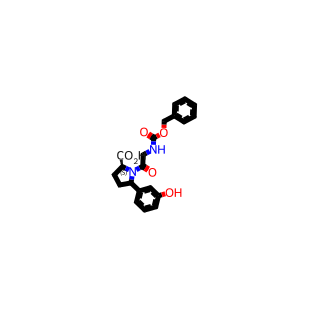 O=C(NCC(=O)N1C(c2cccc(O)c2)CC[C@H]1C(=O)O)OCc1ccccc1